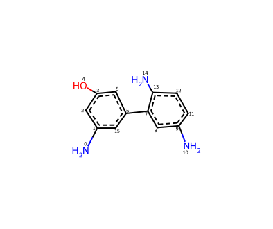 Nc1cc(O)cc(-c2cc(N)ccc2N)c1